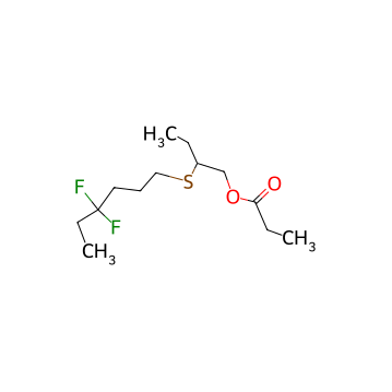 CCC(=O)OCC(CC)SCCCC(F)(F)CC